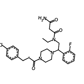 CCN(CC(c1ccccc1F)N1CCN(C(=O)[CH]Cc2ccc(Cl)cc2)CC1)C(=O)CC(N)=O